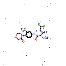 CCN(CC(F)F)[C@H](CN)C(=O)Nc1ccc(N2CCOCC2=O)c(C(F)(F)F)c1